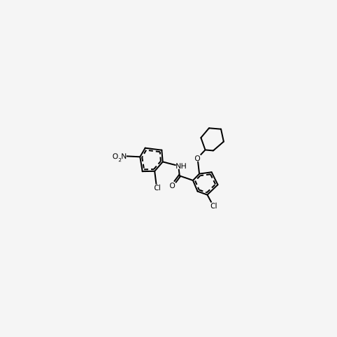 O=C(Nc1ccc([N+](=O)[O-])cc1Cl)c1cc(Cl)ccc1OC1CCCCC1